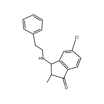 CC1C(=O)c2ccc(Cl)cc2C1NCCc1ccccc1